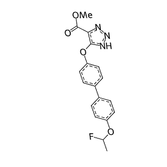 COC(=O)c1nn[nH]c1Oc1ccc(-c2ccc(OC(C)F)cc2)cc1